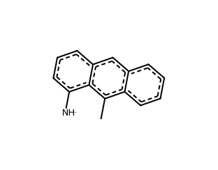 Cc1c2ccccc2cc2cccc([NH])c12